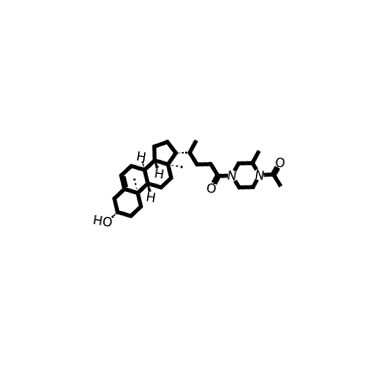 CC(=O)N1CCN(C(=O)CCC(C)[C@H]2CC[C@H]3[C@@H]4CC=C5C[C@@H](O)CC[C@]5(C)[C@H]4CC[C@]23C)CC1C